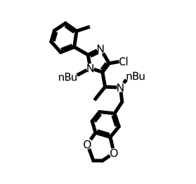 CCCCN(Cc1ccc2c(c1)OCCO2)C(C)c1c(Cl)nc(-c2ccccc2C)n1CCCC